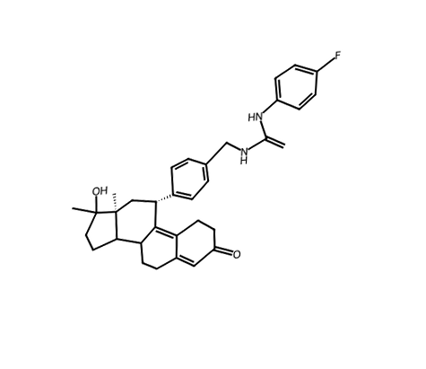 C=C(NCc1ccc([C@H]2C[C@@]3(C)C(CCC3(C)O)C3CCC4=CC(=O)CCC4=C32)cc1)Nc1ccc(F)cc1